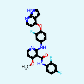 COc1ccnc(Nc2ccc(Oc3ccnc4[nH]ccc34)c(F)c2)c1C(=O)Nc1ccc(F)cc1F